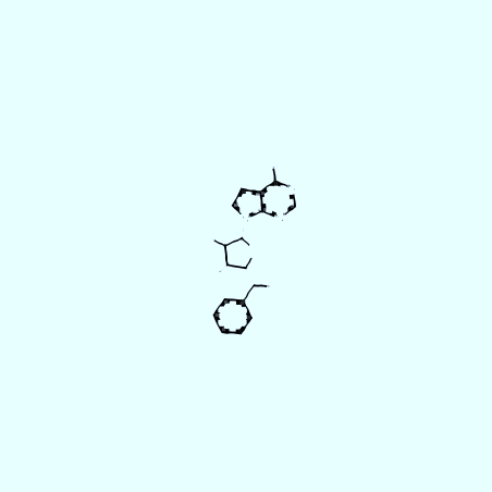 Cc1ncnc2c1ccn2[C@@H]1O[C@H](C(O)c2ccccc2)[C@@H](O)C1O